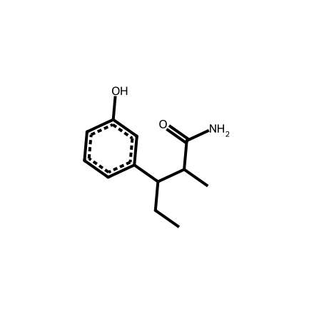 CCC(c1cccc(O)c1)C(C)C(N)=O